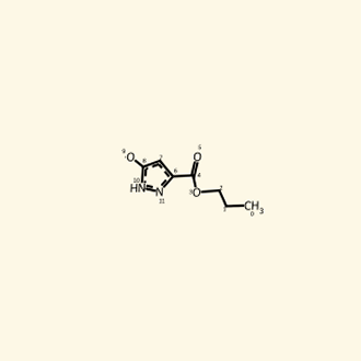 CCCOC(=O)c1cc([O])[nH]n1